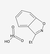 CCc1noc2ccccc12.O=[SH](=O)O